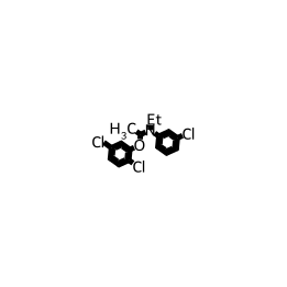 CCN(c1cccc(Cl)c1)C(C)Oc1cc(Cl)ccc1Cl